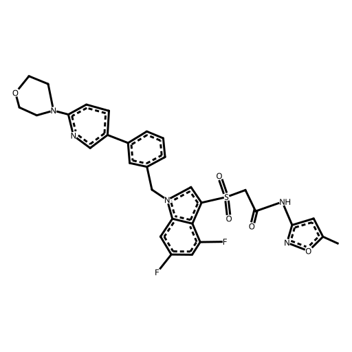 Cc1cc(NC(=O)CS(=O)(=O)c2cn(Cc3cccc(-c4ccc(N5CCOCC5)nc4)c3)c3cc(F)cc(F)c23)no1